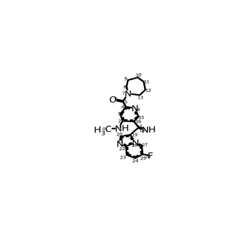 CNc1cc(C(=O)N2CCCCCC2)ncc1C(=N)c1cnc2ccc(F)cn12